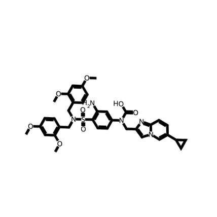 COc1ccc(CN(Cc2ccc(OC)cc2OC)S(=O)(=O)c2ccc(N(Cc3cn4cc(C5CC5)ccc4n3)C(=O)O)cc2N)c(OC)c1